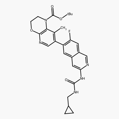 Cc1c(-c2cc3cc(NC(=O)NCC4CC4)ncc3cc2F)cnc2c1N(C(=O)OC(C)(C)C)CCO2